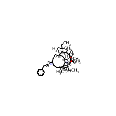 CC[C@H]1OC(=O)[C@@](C)(F)C(=O)[C@H](C)[C@@H](C(C)(C)CC)[C@@]2(C)C[C@@H](C)/C(=N\C(C)=O)[C@H](C)[C@@H](CC/C(=N\OCc3ccccc3)CO2)[C@]1(C)O